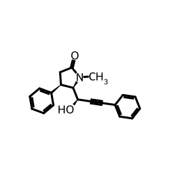 CN1C(=O)C[C@H](c2ccccc2)[C@@H]1[C@H](O)C#Cc1ccccc1